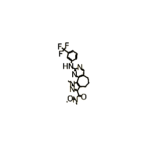 CON(C)C(=O)c1nn(C)c2c1CCCc1cnc(Nc3cccc(C(F)(F)F)c3)nc1-2